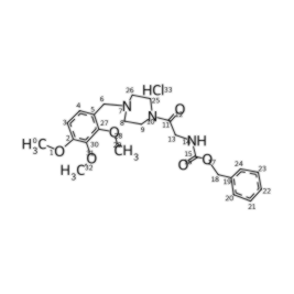 COc1ccc(CN2CCN(C(=O)CNC(=O)OCc3ccccc3)CC2)c(OC)c1OC.Cl